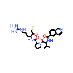 CC(C)C(NC(=O)c1ccc2cnccc2c1)C(=O)N1CCC[C@H]1C(=O)NC(CCCNC(=N)N)C(=O)CF